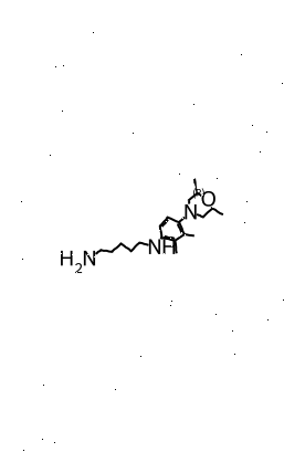 Cc1c(NCCCCCN)ccc(N2CC(C)O[C@H](C)C2)c1C